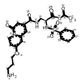 NCCCOc1ccn2c(=O)cc(C(=O)NC[C@H](NS(=O)(=O)c3ccccc3)C(=O)OC(=O)C(F)(F)F)cc2c1